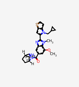 COc1cc(C(=O)N2C[C@H]3CC[C@@H]2[C@@H]3N)cc2nc(-c3cc4sccc4n3CC3CC3)n(C)c12